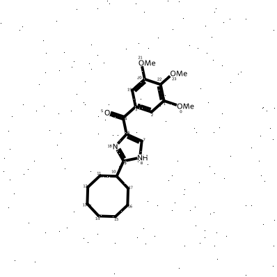 COc1cc(C(=O)c2c[nH]c(C3CCCCCCC3)n2)cc(OC)c1OC